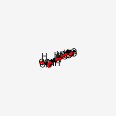 COC(=O)NCC(=O)N1CCC[C@H]1c1ncc(-c2ccc(-c3nc4ccc(NC(=O)NC(=O)[C@@H]5CCCN5C(=O)[C@@H](NC(=O)OC)C(C)C)cc4s3)cc2)[nH]1